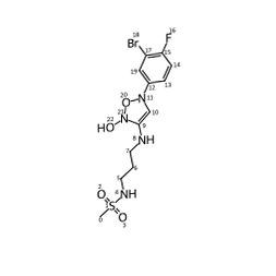 CS(=O)(=O)NCCCNC1=CN(c2ccc(F)c(Br)c2)ON1O